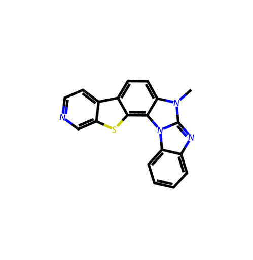 Cn1c2ccc3c4ccncc4sc3c2n2c3ccccc3nc12